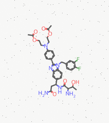 CC(=O)OCCN(CCOC(C)=O)c1ccc(-c2nc3cc(C(CC(N)=O)NC(=O)C(N)C(C)O)ccc3n2Cc2ccc(F)c(F)c2)cc1